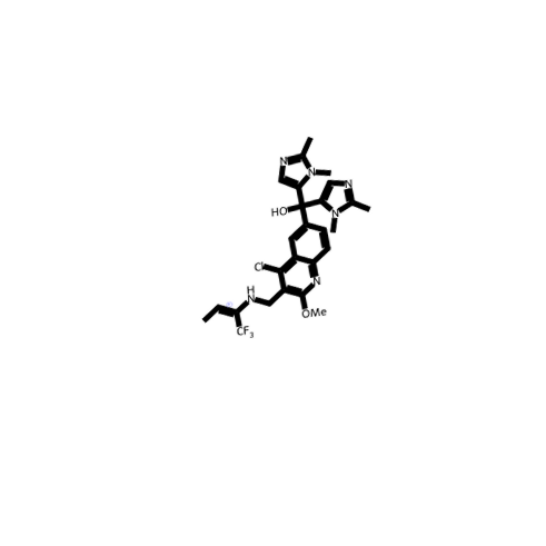 C/C=C(/NCc1c(OC)nc2ccc(C(O)(c3cnc(C)n3C)c3cnc(C)n3C)cc2c1Cl)C(F)(F)F